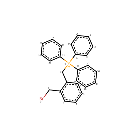 BrCc1ccccc1C[PH](c1ccccc1)(c1ccccc1)c1ccccc1